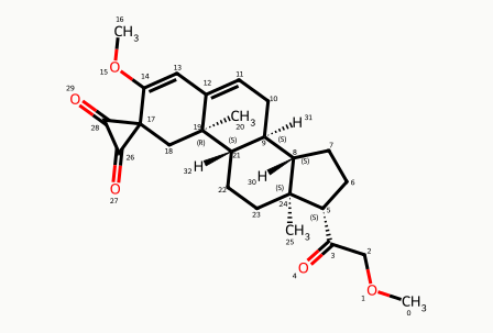 COCC(=O)[C@H]1CC[C@H]2[C@@H]3CC=C4C=C(OC)C5(C[C@]4(C)[C@H]3CC[C@]12C)C(=O)C5=O